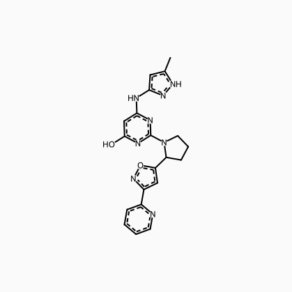 Cc1cc(Nc2cc(O)nc(N3CCCC3c3cc(-c4ccccn4)no3)n2)n[nH]1